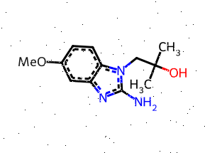 COc1ccc2c(c1)nc(N)n2CC(C)(C)O